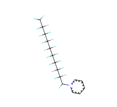 FC(F)C(F)(F)C(F)(F)C(F)(F)C(F)(F)C(F)(F)C(F)(F)C(F)(F)C(F)(F)C(F)[n+]1ccccc1